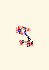 CCC(C)(C)C(=O)C(=O)N1CCCC[C@H]1C(=O)O[C@H](CCc1ccc(OC)c(OC)c1)c1cccc(C(C)(C)CCC(C)(C)N2CC[C@@H]([C@@H](O)[C@@H]3C[C@H](SC4=C(C(=O)O)N5C(=O)[C@H]([C@@H](C)O)[C@H]5[C@H]4C)CN3C)C2)c1